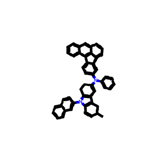 CC1C=Cc2c(c3c(n2-c2ccc4ccccc4c2)CCC(N(c2ccccc2)c2ccc4c(c2)-c2cccc5cc6ccccc6c-4c25)=C3)C1